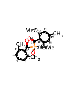 CCCCP(=O)(C(=O)c1c(C)cccc1C)C(=O)c1c(OC)cc(C)cc1OC